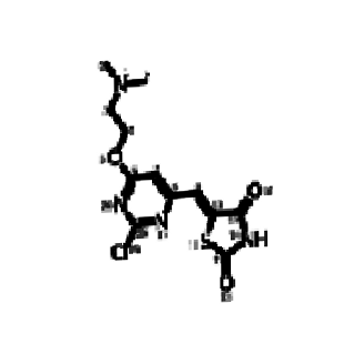 CN(C)CCOc1cc(/C=C2\SC(=O)NC2=O)nc(Cl)n1